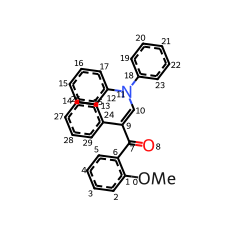 COc1ccccc1C(=O)/C(=C/N(c1ccccc1)c1ccccc1)c1ccccc1